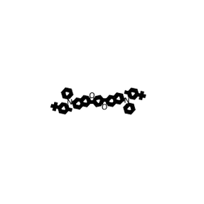 Cc1ccc(C(C)(C)C)cc1N(c1ccccc1)c1ccc2cc3c(cc2c1)oc1cc2c(cc13)oc1cc3cc(N(c4ccccc4)c4cc(C(C)(C)C)ccc4C)ccc3cc12